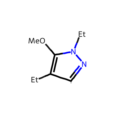 CCc1[c]nn(CC)c1OC